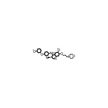 COc1cccc(Oc2ccc(Nc3c(C#N)cnc4cc(OCCCN5CCOCC5)c(OC)cc34)cc2)c1